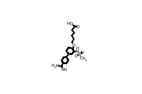 CS(=O)(=O)Nc1cc(-c2ccc(C(=N)N)cc2)ccc1OCCCCCC(=O)O